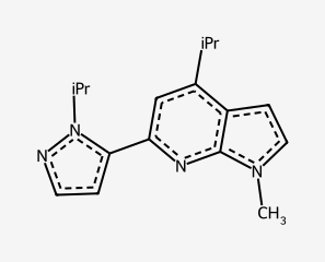 CC(C)c1cc(-c2ccnn2C(C)C)nc2c1ccn2C